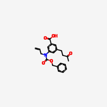 C=CCN(C(=O)OCc1ccccc1)c1cc(CCC(C)=O)cc(C(=O)O)c1